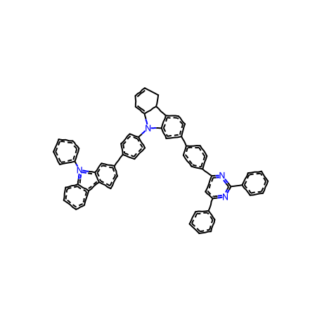 C1=CCC2C(=C1)N(c1ccc(-c3ccc4c5ccccc5n(-c5ccccc5)c4c3)cc1)c1cc(-c3ccc(-c4cc(-c5ccccc5)nc(-c5ccccc5)n4)cc3)ccc12